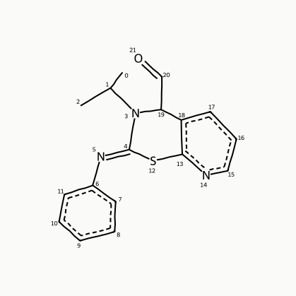 CC(C)N1C(=Nc2ccccc2)Sc2ncccc2C1C=O